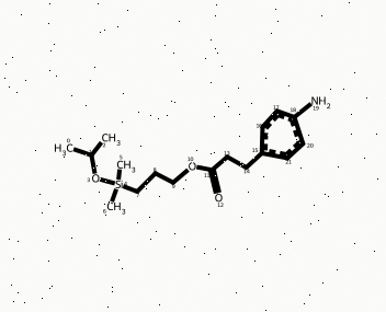 CC(C)O[Si](C)(C)CCCOC(=O)CCc1ccc(N)cc1